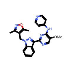 COc1cnc(-c2nn(Cc3c(C)noc3C)c3ccccc23)nc1Nc1ccncc1